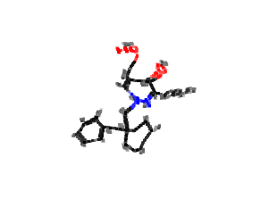 CCOC(=O)c1nn(CC2(c3ccccc3)CCCC2)cc(O)c1=O